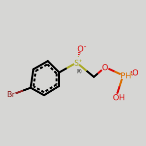 O=[PH](O)OC[S@@+]([O-])c1ccc(Br)cc1